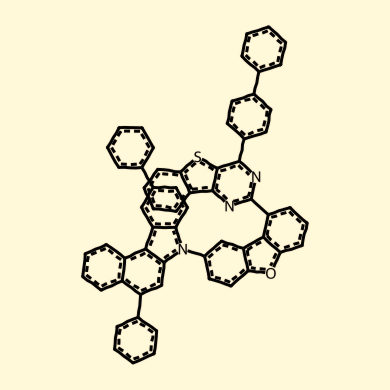 c1ccc(-c2ccc(-c3nc(-c4cccc5oc6ccc(-n7c8ccc(-c9ccccc9)cc8c8c9ccccc9c(-c9ccccc9)cc87)cc6c45)nc4c3sc3ccccc34)cc2)cc1